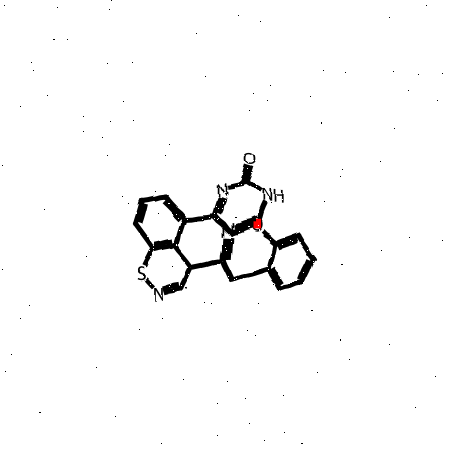 O=c1nc(-c2cccc3c2C(C2=NOc4ccccc4C2)[C]=NS3)cc[nH]1